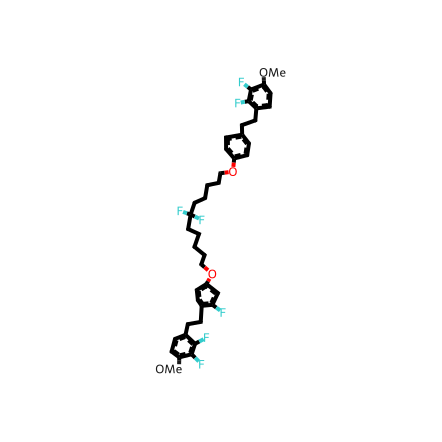 COc1ccc(CCc2ccc(OCCCCCC(F)(F)CCCCCOc3ccc(CCc4ccc(OC)c(F)c4F)c(F)c3)cc2)c(F)c1F